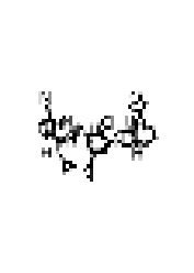 N#Cc1cc(Nc2nc(NC3CC3)c3ncc(C#N)n3n2)c(Cl)c(N2C[C@@H]3CCCN(C4COC4)[C@@H]3C2)c1